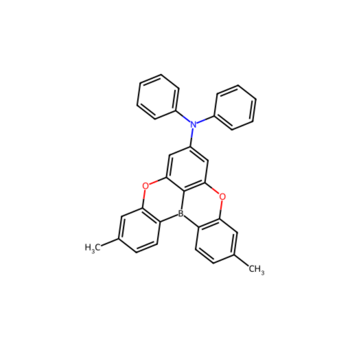 Cc1ccc2c(c1)Oc1cc(N(c3ccccc3)c3ccccc3)cc3c1B2c1ccc(C)cc1O3